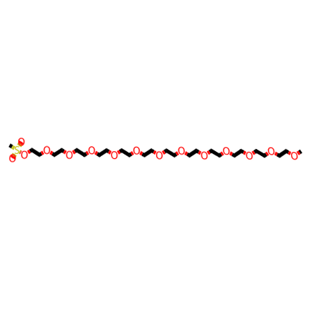 COCCOCCOCCOCCOCCOCCOCCOCCOCCOCCOCCOCCOS(C)(=O)=O